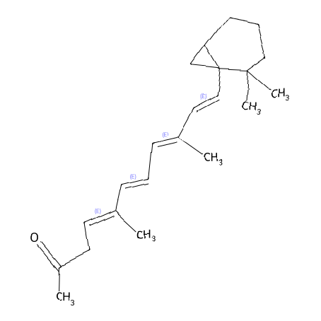 CC(=O)C/C=C(C)/C=C/C=C(C)/C=C/C12CC1CCCC2(C)C